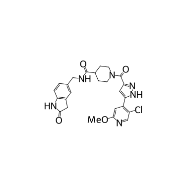 COc1cc(-c2cc(C(=O)N3CCC(C(=O)NCc4ccc5c(c4)CC(=O)N5)CC3)n[nH]2)c(Cl)cn1